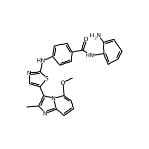 COc1cccc2nc(C)c(-c3cnc(Nc4ccc(C(=O)Nc5ccccc5N)cc4)s3)n12